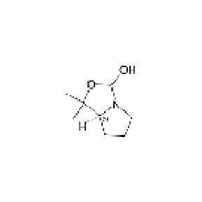 CC1(C)OC(O)N2CCC[C@H]21